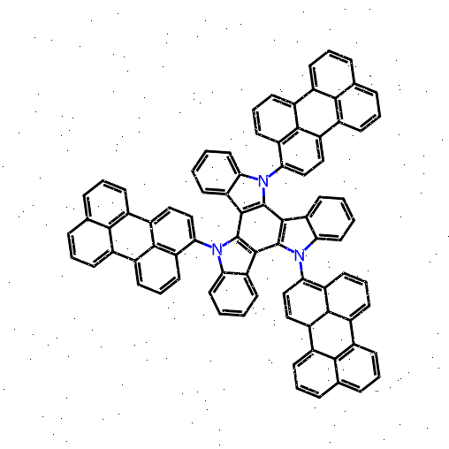 C1=CC2=C(n3c4ccccc4c4c3c3c5ccccc5n(-c5ccc6c7cccc8cccc(c9cccc5c96)c87)c3c3c5ccccc5n(-c5ccc6c7cccc8cccc(c9cccc5c96)c87)c43)C=CC3c4cccc5cccc(c45)C(=C1)C23